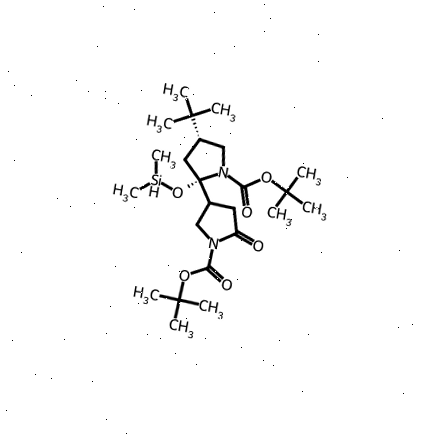 C[SiH](C)O[C@]1(C2CC(=O)N(C(=O)OC(C)(C)C)C2)C[C@H](C(C)(C)C)CN1C(=O)OC(C)(C)C